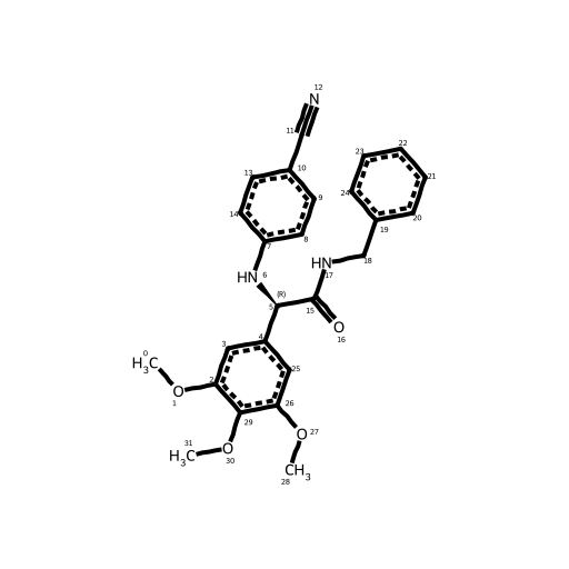 COc1cc([C@@H](Nc2ccc(C#N)cc2)C(=O)NCc2ccccc2)cc(OC)c1OC